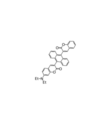 CCN(CC)c1ccc2cc(-c3c4ccccc4c(-c4cc5ccccc5oc4=O)c4ccccc34)c(=O)oc2c1